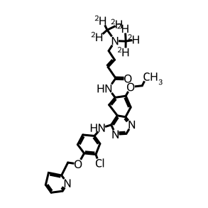 [2H]C([2H])([2H])N(C/C=C/C(=O)Nc1cc2c(Nc3ccc(OCc4ccccn4)c(Cl)c3)ncnc2cc1OCC)C([2H])([2H])[2H]